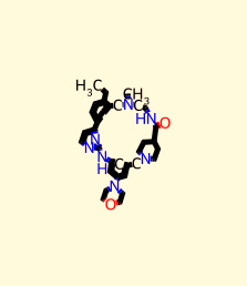 CCc1ccc2cc1CN(C)CCNC(=O)C1CCN(CC1)Cc1cc(cc(N3CCOCC3)c1)Nc1nccc-2n1